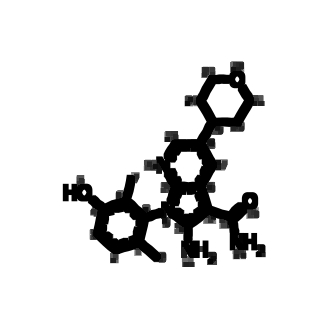 Cc1ccc(O)c(C)c1-n1c(N)c(C(N)=O)c2cc(C3CCOCC3)cnc21